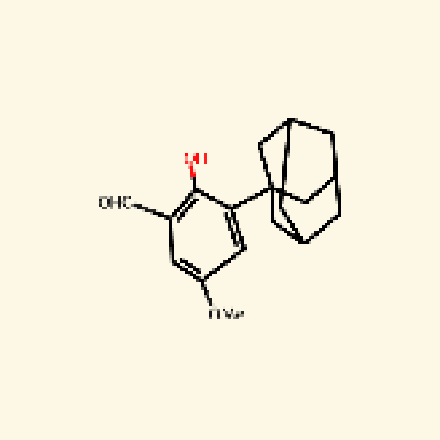 COc1cc(C=O)c(O)c(C23CC4CC(CC(C4)C2)C3)c1